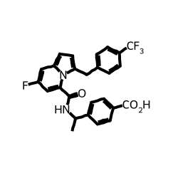 CC(NC(=O)c1cc(F)cc2ccc(Cc3ccc(C(F)(F)F)cc3)n12)c1ccc(C(=O)O)cc1